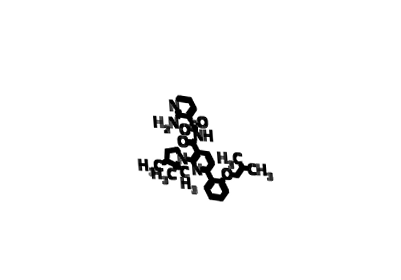 CC(C)COc1ccccc1-c1ccc(C(=O)NS(=O)(=O)c2cccnc2N)c(N2CCC(C)C2(C)C)n1